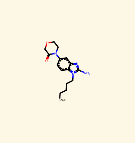 CSCCCCn1c(N)nc2cc(N3CCOCC3=O)ccc21